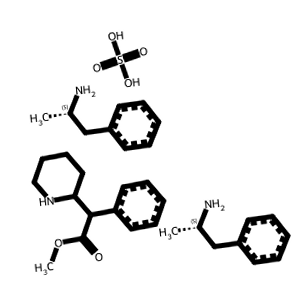 COC(=O)C(c1ccccc1)C1CCCCN1.C[C@H](N)Cc1ccccc1.C[C@H](N)Cc1ccccc1.O=S(=O)(O)O